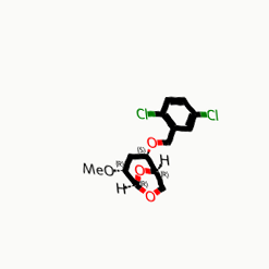 CO[C@@H]1C[C@H](OCc2cc(Cl)ccc2Cl)[C@H]2CO[C@@H]1O2